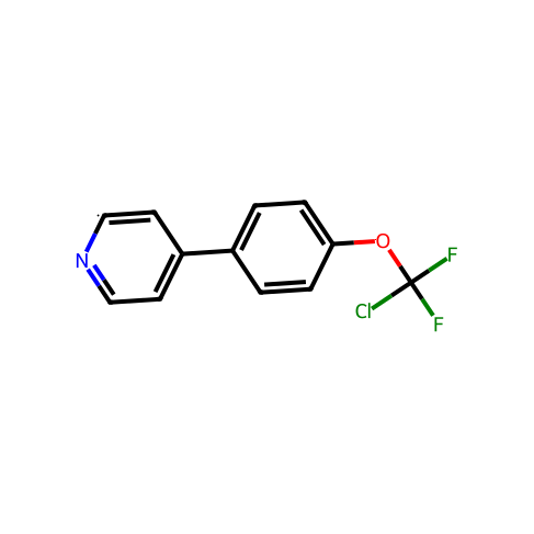 FC(F)(Cl)Oc1ccc(-c2c[c]ncc2)cc1